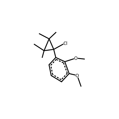 COc1cccc(C2(Cl)C(C)(C)C2(C)C)c1OC